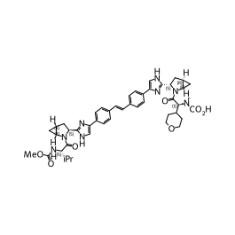 COC(=O)N[C@H](C(=O)N1[C@@H]2C[C@@H]2C[C@H]1c1nc(-c2ccc(C=Cc3ccc(-c4c[nH]c([C@@H]5C[C@H]6C[C@H]6N5C(=O)[C@H](C5CCOCC5)N(C)C(=O)O)n4)cc3)cc2)c[nH]1)C(C)C